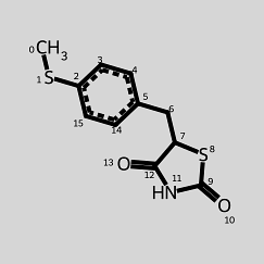 CSc1ccc(CC2SC(=O)NC2=O)cc1